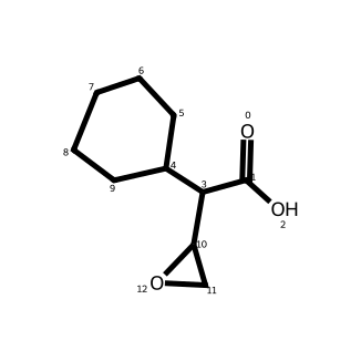 O=C(O)C(C1CCCCC1)C1CO1